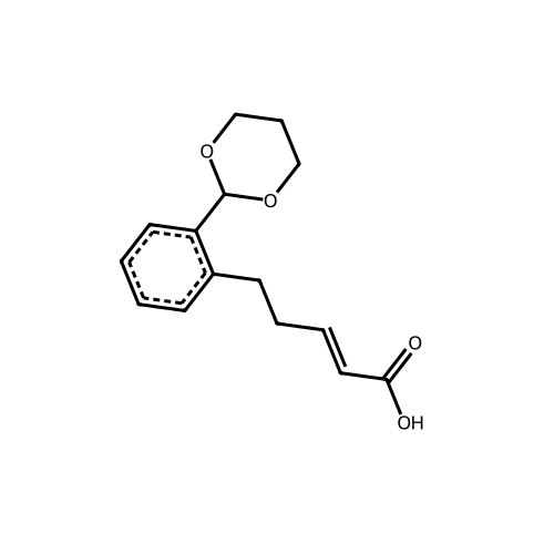 O=C(O)C=CCCc1ccccc1C1OCCCO1